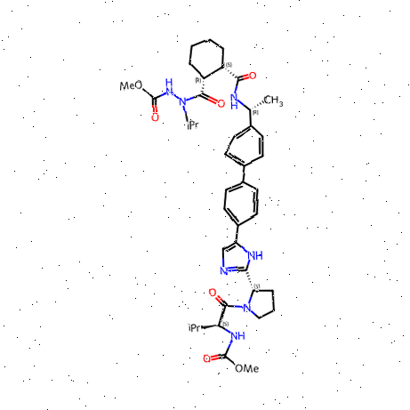 COC(=O)N[C@H](C(=O)N1CCC[C@H]1c1ncc(-c2ccc(-c3ccc([C@@H](C)NC(=O)[C@H]4CCCC[C@H]4C(=O)N(NC(=O)OC)C(C)C)cc3)cc2)[nH]1)C(C)C